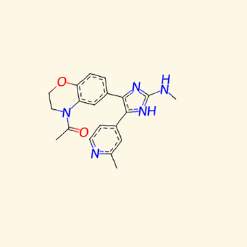 CNc1nc(-c2ccc3c(c2)N(C(C)=O)CCO3)c(-c2ccnc(C)c2)[nH]1